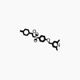 C=C1CCC(C(=O)CS(=O)(=O)c2ccc(OCc3cc(C)nc(C)c3)cc2)CC1